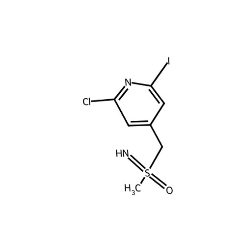 CS(=N)(=O)Cc1cc(Cl)nc(I)c1